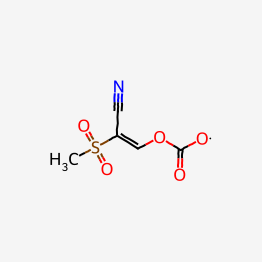 CS(=O)(=O)C(C#N)=COC([O])=O